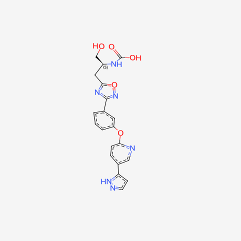 O=C(O)N[C@H](CO)Cc1nc(-c2cccc(Oc3ccc(-c4ccn[nH]4)cn3)c2)no1